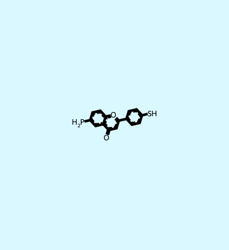 O=c1cc(-c2ccc(S)cc2)oc2ccc(P)cc12